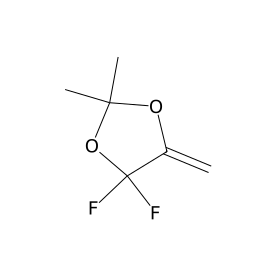 C=C1OC(C)(C)OC1(F)F